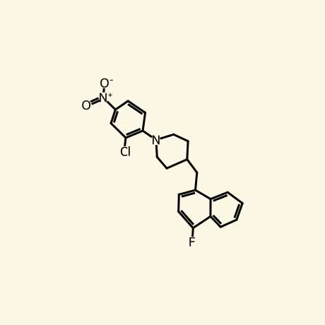 O=[N+]([O-])c1ccc(N2CCC(Cc3ccc(F)c4ccccc34)CC2)c(Cl)c1